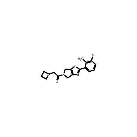 Cc1c(Br)cccc1-c1nc2c(o1)CN(C(=O)CN1CCC1)C2